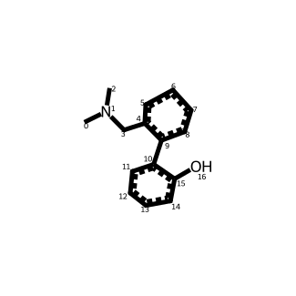 CN(C)Cc1ccccc1-c1ccccc1O